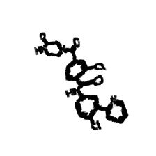 O=C1CN(C(=O)c2ccc(C(=O)Nc3ccc(Cl)c(-c4ccccn4)c3)c(Cl)c2)CCN1